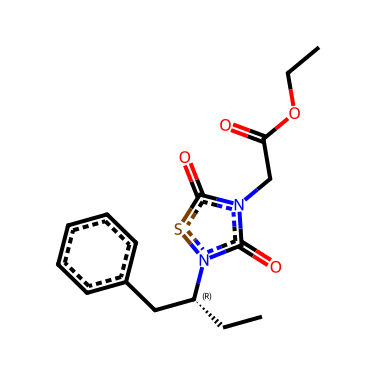 CCOC(=O)Cn1c(=O)sn([C@H](CC)Cc2ccccc2)c1=O